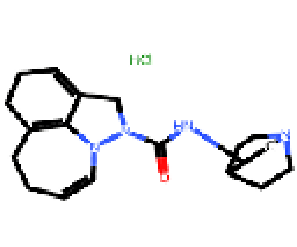 Cl.O=C(NC1CN2CCC1CC2)N1CC2=CCCC3=C2N1C=CCC3